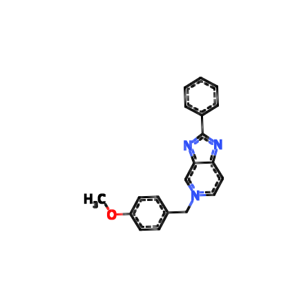 COc1ccc(Cn2ccc3nc(-c4ccccc4)nc-3c2)cc1